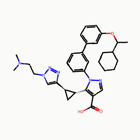 CC(Oc1cccc(-c2cccc(-n3ncc(C(=O)O)c3[C@@H]3C[C@H]3c3cn(CCN(C)C)nn3)c2)c1)C1CCCCC1